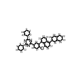 c1ccc(-c2nc(-c3ccccc3)nc(-c3ccc4c(c3)-c3cccc5c(-c6ccc7ccccc7c6)ccc(c35)O4)n2)cc1